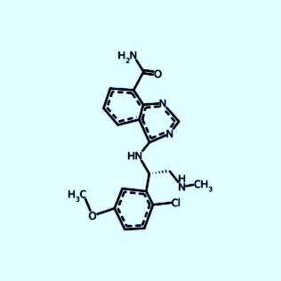 CNC[C@@H](Nc1ncnc2c(C(N)=O)cccc12)c1cc(OC)ccc1Cl